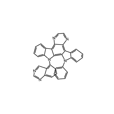 c1ccc(-n2c3ccccc3c3c4nccnc4c4c5ccccc5n(-c5cccc6ncncc56)c4c32)cc1